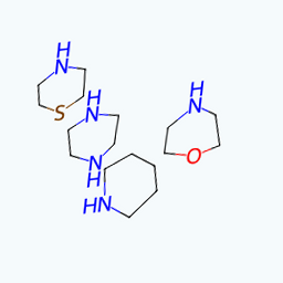 C1CCNCC1.C1CNCCN1.C1COCCN1.C1CSCCN1